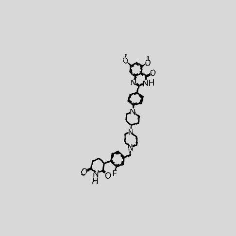 COc1cc(OC)c2c(=O)[nH]c(-c3ccc(N4CCC(N5CCN(Cc6ccc(C7CCC(=O)NC7=O)c(F)c6)CC5)CC4)cc3)nc2c1